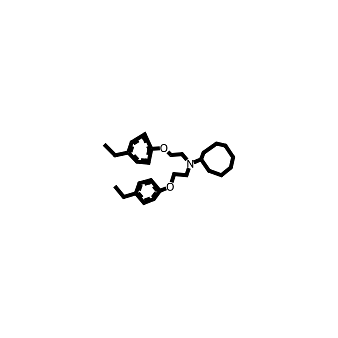 CCc1ccc(OCCN(CCOc2ccc(CC)cc2)C2CCCCCCC2)cc1